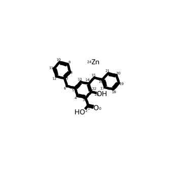 O=C(O)c1cc(Cc2ccccc2)cc(Cc2ccccc2)c1O.[Zn]